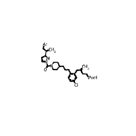 C=C(CCC(C)CCC)Cc1cc(Cl)ccc1CCCC1CCN(C(=O)n2ccc(C(=C)CC(C)=O)n2)CC1